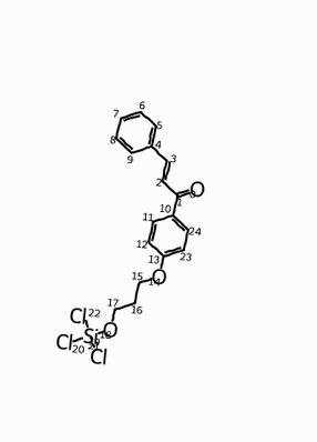 O=C(C=Cc1ccccc1)c1ccc(OCCCO[Si](Cl)(Cl)Cl)cc1